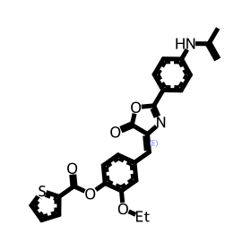 C=C(C)Nc1ccc(C2=N/C(=C/c3ccc(OC(=O)c4cccs4)c(OCC)c3)C(=O)O2)cc1